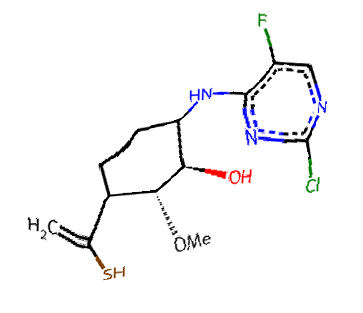 C=C(S)C1CCC(Nc2nc(Cl)ncc2F)[C@@H](O)[C@@H]1OC